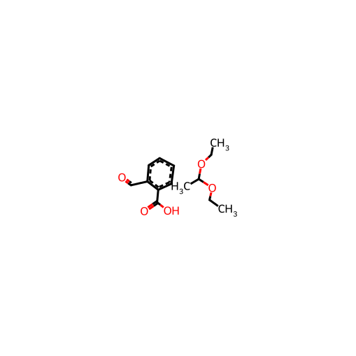 CCOC(C)OCC.O=Cc1ccccc1C(=O)O